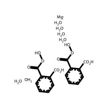 O.O.O.O.O.O.O=C(O)c1ccccc1C(=O)OO.O=C(O)c1ccccc1C(=O)OO.[Mg]